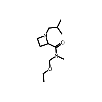 CCOCN(C)C(=O)C1CCN1CC(C)C